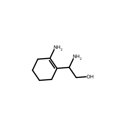 NC1=C(C(N)CO)CCCC1